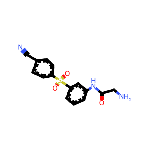 N#Cc1ccc(S(=O)(=O)c2cccc(NC(=O)CN)c2)cc1